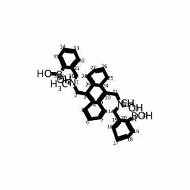 CN(CC1=c2ccccc2=C(CN(C)Cc2ccccc2B(O)O)C2CC=CC=C12)Cc1ccccc1B(O)O